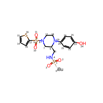 CC[C@@H](C)S(=O)(=O)NC[C@H]1CN(S(=O)(=O)c2cccs2)CCN1c1ccc(O)cc1